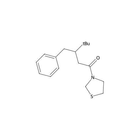 CC(C)(C)C(CC(=O)N1CCSC1)Cc1ccccc1